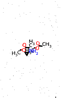 CCOC(=O)CC.CCOC(=O)CC.NC1CC1